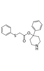 O=C(CSc1ccccc1)OC1(c2ccccc2)CCNCC1